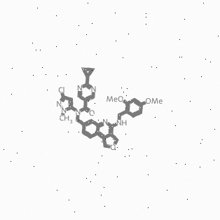 COc1ccc(CNc2nc3cc(CN(C(=O)c4cnc(C5CC5)nc4)c4cc(Cl)nn4C)ccc3c3c2COC3)c(OC)c1